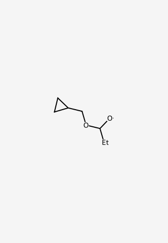 CCC([O])OCC1CC1